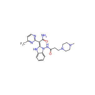 CN1CCN(CCC(=O)NN2C(=C(C(N)=O)c3nccc(C(F)(F)F)n3)Nc3ccccc32)CC1